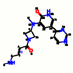 CNC/C=C/C(=O)N1CC(N(C)c2cc(-c3ccncn3)c[nH]c2=O)C1